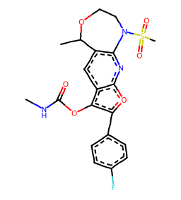 CNC(=O)Oc1c(-c2ccc(F)cc2)oc2nc3c(cc12)C(C)OCCN3S(C)(=O)=O